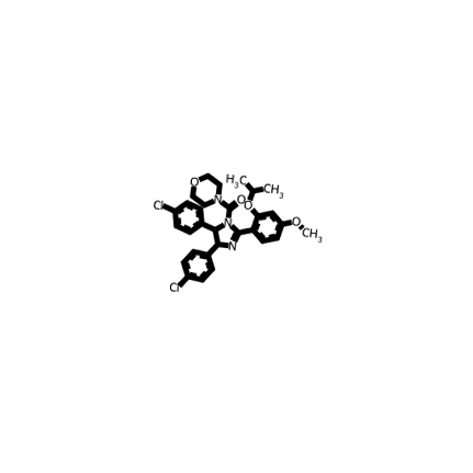 COc1ccc(C2=NC(c3ccc(Cl)cc3)C(c3ccc(Cl)cc3)N2C(=O)N2CCOCC2)c(OC(C)C)c1